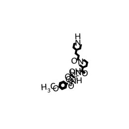 COc1ccc(S(=O)(=O)N[C@@H](CNC(=O)C2CCCN(C(=O)CCC3CCNCC3)C2)C(=O)O)cc1